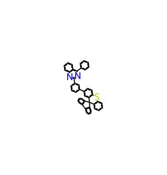 c1ccc(-c2nc(-c3cccc(-c4ccc5c(c4)C4(c6ccccc6S5)c5ccccc5-c5ccccc54)c3)nc3ccccc23)cc1